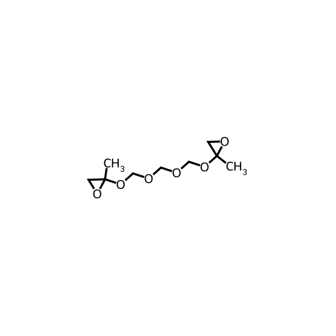 CC1(OCOCOCOC2(C)CO2)CO1